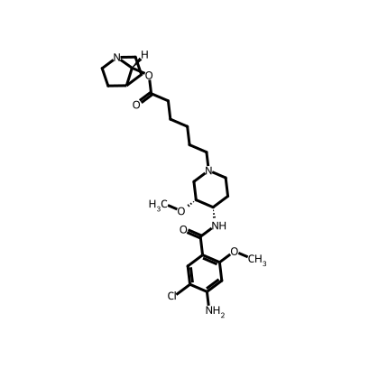 COc1cc(N)c(Cl)cc1C(=O)N[C@H]1CCN(CCCCCC(=O)O[C@@H]2C3CCN2CC3)C[C@H]1OC